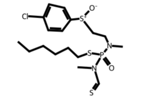 CCCCCCSP(=O)(N(C)C=S)N(C)CC[S+]([O-])c1ccc(Cl)cc1